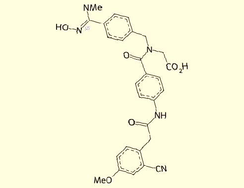 CN/C(=N\O)c1ccc(CN(CC(=O)O)C(=O)c2ccc(NC(=O)Cc3ccc(OC)cc3C#N)cc2)cc1